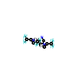 C=C/C(=C\C=C(/C1=CC(C#N)=CC1)n1c2ccccc2c2cc(-c3cc(C(F)(F)F)cc(C(F)(F)F)c3)ccc21)c1c(C(F)(F)F)ccc(-c2cccc3c4cc(-c5cc(C(F)(F)F)cc(C(F)(F)F)c5)ccc4n(C)c23)c1C(F)(F)F